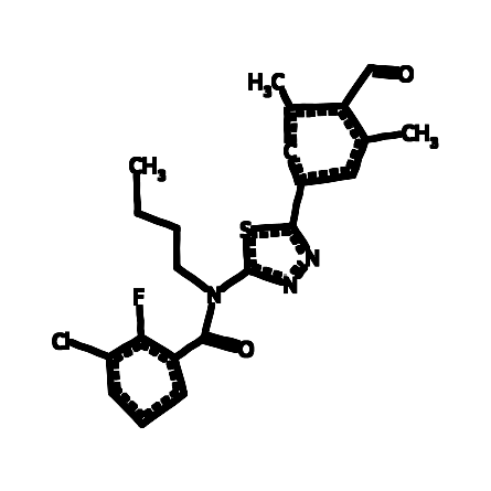 CCCCN(C(=O)c1cccc(Cl)c1F)c1nnc(-c2cc(C)c(C=O)c(C)c2)s1